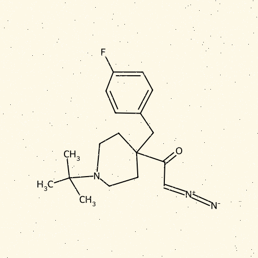 CC(C)(C)N1CCC(Cc2ccc(F)cc2)(C(=O)C=[N+]=[N-])CC1